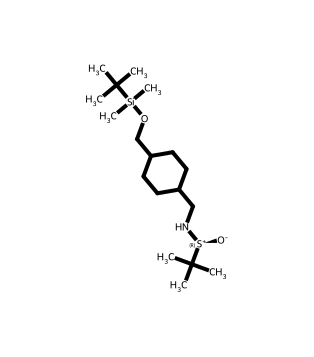 CC(C)(C)[S@+]([O-])NCC1CCC(CO[Si](C)(C)C(C)(C)C)CC1